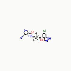 N#Cc1cncc(C(=O)N[C@H]2[C@@H]3C[C@@](O)(c4cc(Cl)cc5[nH]ncc45)C[C@@H]32)c1